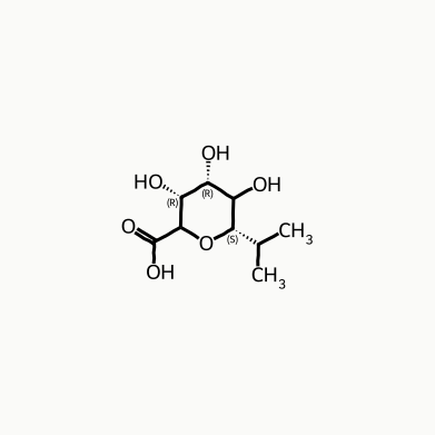 CC(C)[C@@H]1OC(C(=O)O)[C@H](O)[C@H](O)C1O